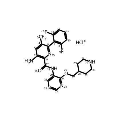 Cl.Nc1cc(C(F)(F)F)c(-c2c(F)cccc2F)nc1C(=O)Nc1cncnc1OCC1CCNCC1